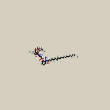 CCCCCCCCC=CCCCCCCCC(=O)N[C@@H]1CCCC[C@H]1OC(=O)CCNC(=O)C1OC(C)(C)OCC1(C)C